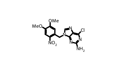 COc1cc(Cn2cnc3c(Cl)nc(N)nc32)c([N+](=O)[O-])cc1OC